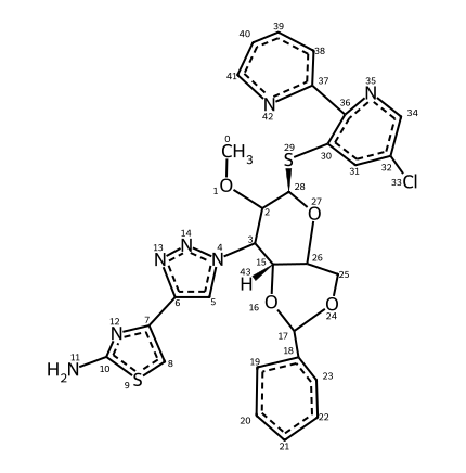 COC1C(n2cc(-c3csc(N)n3)nn2)[C@H]2OC(c3ccccc3)OCC2O[C@@H]1Sc1cc(Cl)cnc1-c1ccccn1